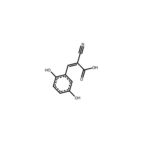 N#CC(=Cc1cc(O)ccc1O)C(=O)O